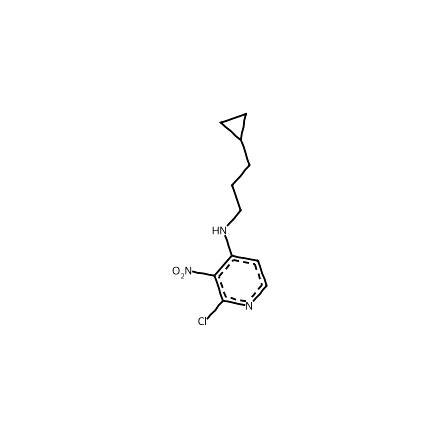 O=[N+]([O-])c1c(NCCCC2CC2)ccnc1Cl